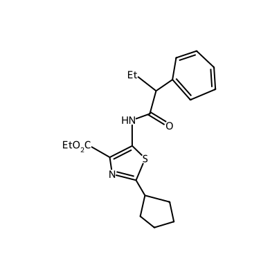 CCOC(=O)c1nc(C2CCCC2)sc1NC(=O)C(CC)c1ccccc1